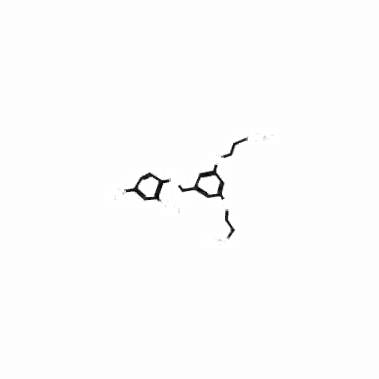 CCCCCCCCCCCCOc1cc(COc2ccc(N)cc2N)cc(OCCCCCCCCCCCC)c1